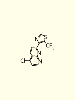 FC(F)(F)c1scnc1-c1ccc2c(Cl)ccnc2n1